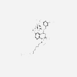 CC[C@@H]1C[C@H](N(Cc2cc(C(F)(F)F)cc(C(F)(F)F)c2)c2nnn(C)n2)c2cc(OC(F)(F)F)ccc2N1C(=O)CCCCCCC(=O)O